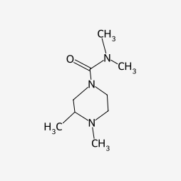 CC1CN(C(=O)N(C)C)CCN1C